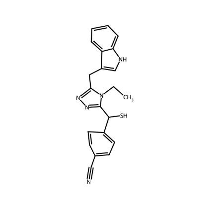 CCn1c(Cc2c[nH]c3ccccc23)nnc1C(S)c1ccc(C#N)cc1